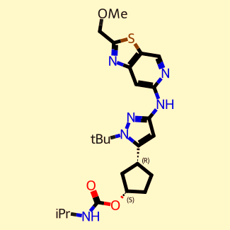 COCc1nc2cc(Nc3cc([C@@H]4CC[C@H](OC(=O)NC(C)C)C4)n(C(C)(C)C)n3)ncc2s1